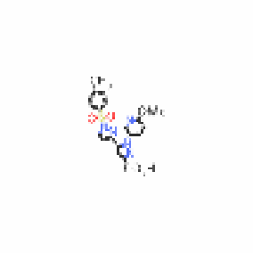 COc1ccc(-n2nc(C(=O)O)cc2-c2ccn(S(=O)(=O)c3ccc(C)cc3)n2)cn1